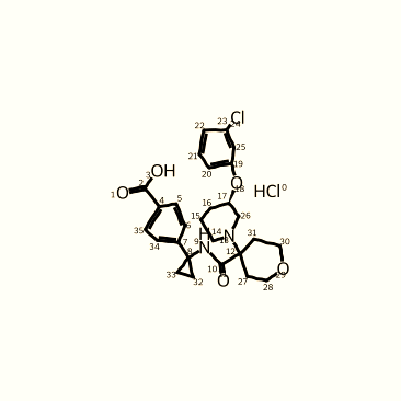 Cl.O=C(O)c1ccc(C2(NC(=O)C3(N4CCC[C@@H](Oc5cccc(Cl)c5)C4)CCOCC3)CC2)cc1